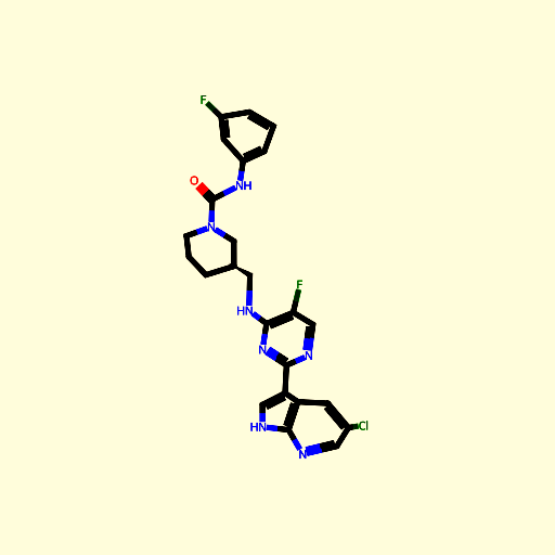 O=C(Nc1cccc(F)c1)N1CCC[C@H](CNc2nc(-c3c[nH]c4ncc(Cl)cc34)ncc2F)C1